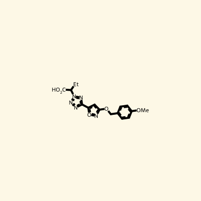 CCC(C(=O)O)n1nnc(-c2cc(OCc3ccc(OC)cc3)no2)n1